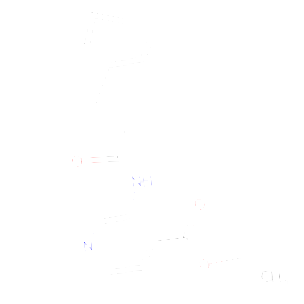 CCOC(=O)c1ccncc1NC(=O)CCc1ccccc1